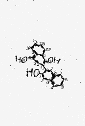 Oc1cc2ccccc2cc1-c1cc(O)c2ccccc2c1O